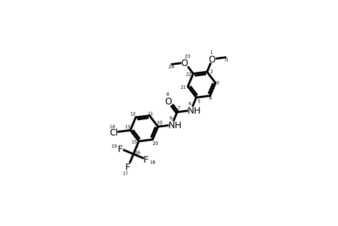 COc1ccc(NC(=O)Nc2ccc(Cl)c(C(F)(F)F)c2)cc1OC